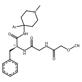 CC(=O)C1(NC(=O)[C@H](Cc2ccccc2)NC(=O)CNC(=O)COC#N)CCN(C)CC1